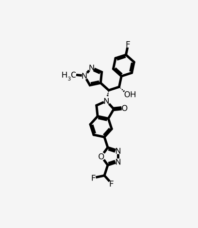 Cn1cc([C@H]([C@@H](O)c2ccc(F)cc2)N2Cc3ccc(-c4nnc(C(F)F)o4)cc3C2=O)cn1